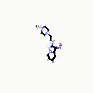 CN1CCN(C/C=N/c2nn3ccccc3c2N=O)CC1